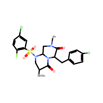 CC(=O)NC1CN(S(=O)(=O)c2cc(Cl)ccc2F)C2CN(C(C)C)C(=O)C(Cc3ccc(Cl)cc3)N2C1=O